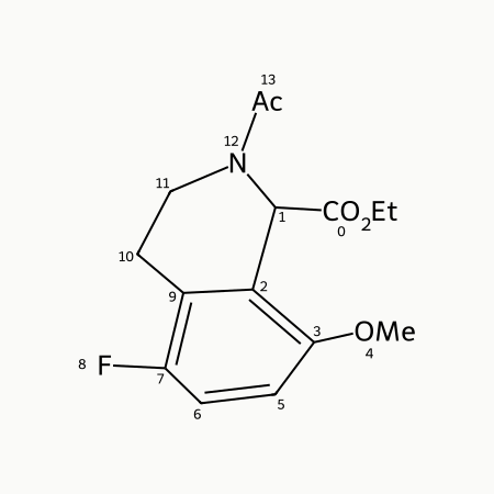 CCOC(=O)C1c2c(OC)ccc(F)c2CCN1C(C)=O